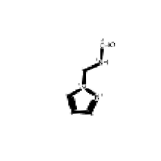 O=CNCn1cccn1